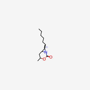 CCCCC/C=C1\C2CC(C)OC(=O)N12